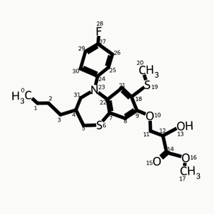 CCCCC1CSc2cc(OCC(O)C(=O)OC)c(SC)cc2N(c2ccc(F)cc2)C1